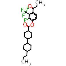 CCCC1CCC(C2CCC(C(=O)Oc3ccc(C(=O)CC)c(C(F)(F)F)c3F)CC2)CC1